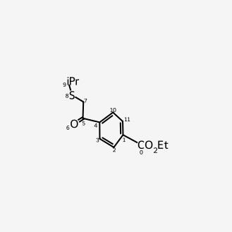 CCOC(=O)c1ccc(C(=O)CSC(C)C)cc1